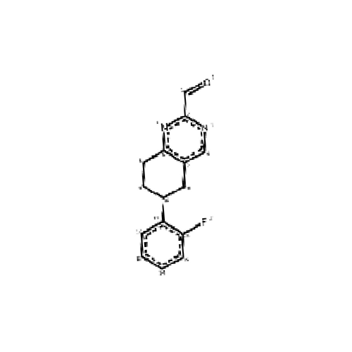 O=Cc1ncc2c(n1)CC[C@H](c1ccccc1F)C2